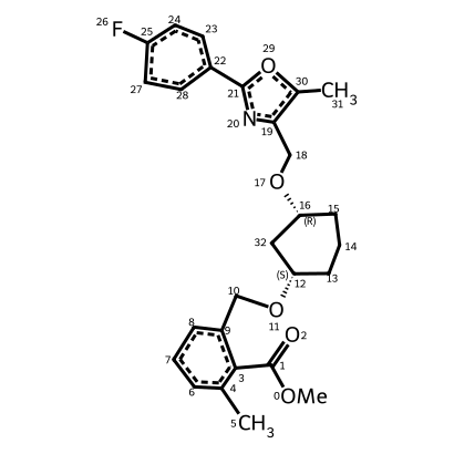 COC(=O)c1c(C)cccc1CO[C@H]1CCC[C@@H](OCc2nc(-c3ccc(F)cc3)oc2C)C1